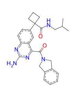 CC(C)CNC(=O)C1(c2ccc3nc(N)nc(C(=O)N4Cc5ccccc5C4)c3c2)CCC1